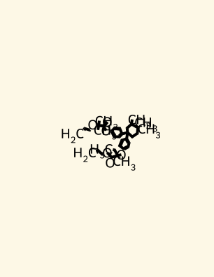 C=CCOC(=O)C(C)(CC)Oc1ccc(C2(c3ccc(OC(=O)C(C)(C)OCC=C)cc3)CCC(C)(C)C(C)C2)cc1